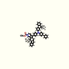 CC(C)(C)OC(=O)n1ccc2c(-c3ccc(N(c4ccc(-c5ccccc5)cc4)c4ccc5c(c4)C(C)(C)c4ccccc4-5)cc3)c3c(c-2c1)C(C)(C)C1=c2ccccc2=CC1=C3